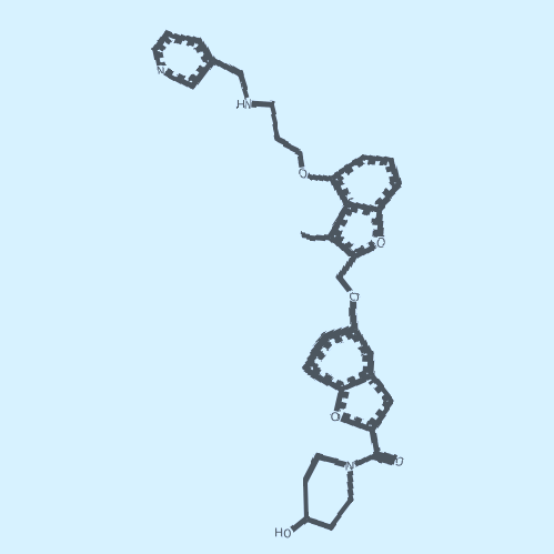 Cc1c(COc2ccc3oc(C(=O)N4CCC(O)CC4)cc3c2)oc2cccc(OCCCNCc3cccnc3)c12